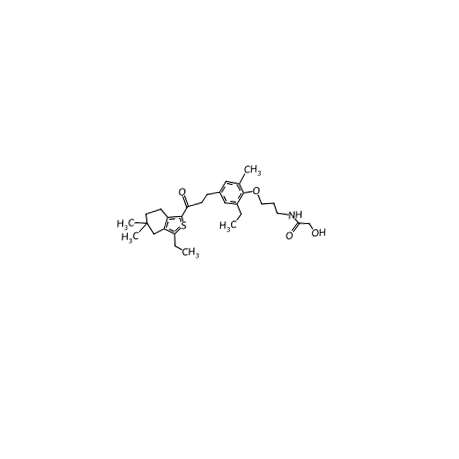 CCc1cc(CCC(=O)c2sc(CC)c3c2CCC(C)(C)C3)cc(C)c1OCCCNC(=O)CO